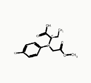 CC[C@H](C(=O)O)N(CC(=O)OC)c1ccc(Cl)cc1